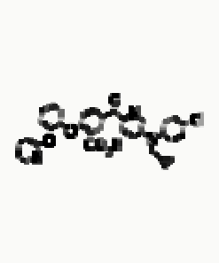 O=C(c1ccc(Oc2ccccc2Oc2ccccn2)c(C(=O)O)c1)c1ccc(N(CC2CC2)c2ccc(Cl)cc2)cn1